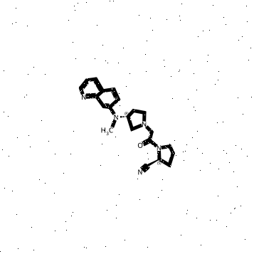 CN(c1ccc2cccnc2c1)[C@@H]1CCN(CC(=O)N2CCC[C@H]2C#N)C1